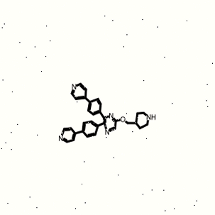 c1cc(-c2ccc(-c3ncc(OCC4CCNCC4)nc3-c3ccc(-c4ccncc4)cc3)cc2)ccn1